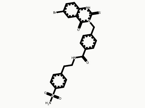 NS(=O)(=O)c1ccc(CCNC(=O)c2ccc(Cn3c(=S)[nH]c4ccc(Br)cc4c3=O)cc2)cc1